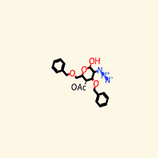 CC(=O)O[C@@H]1C(COCc2ccccc2)O[C@@H](O)C(N=[N+]=[N-])C1OCc1ccccc1